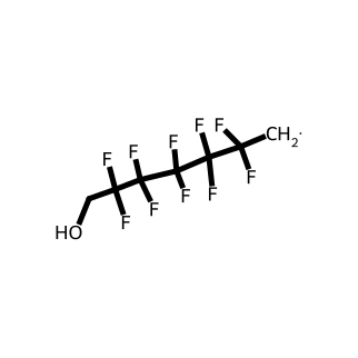 [CH2]C(F)(F)C(F)(F)C(F)(F)C(F)(F)C(F)(F)CO